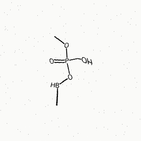 CBOP(=O)(O)OC